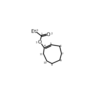 CCC(=O)OC1=CCCCCCC1